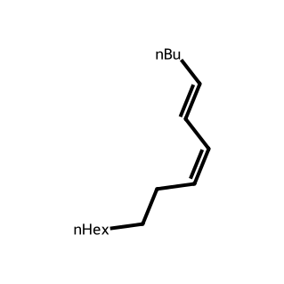 CCCC/C=C/C=C\CCCCCCCC